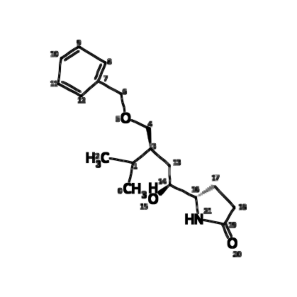 CC(C)[C@@H](COCc1ccccc1)C[C@H](O)[C@@H]1CCC(=O)N1